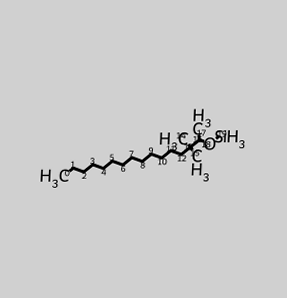 CCCCCCCCCCCCCC(C)(C)C(C)O[SiH3]